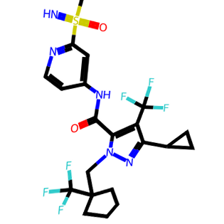 CS(=N)(=O)c1cc(NC(=O)c2c(C(F)(F)F)c(C3CC3)nn2CC2(C(F)(F)F)CCCC2)ccn1